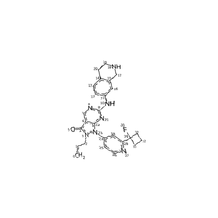 C=CCn1c(=O)c2cnc(Nc3ccc4c(c3)CNCC4)nc2n1-c1ccnc(C2(F)CCC2)c1